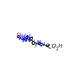 Cc1c(/C=C(\F)c2cc3c(cn2)CN(CCC24CCC(C(=O)O)(CC2)C4)CC3)cccc1-c1cccc(Nc2nccc3cc(CNC[C@@H]4CCC(=O)N4)cnc23)c1C